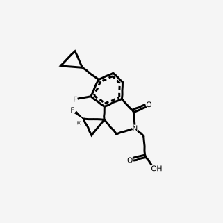 O=C(O)CN1CC2(C[C@H]2F)c2c(ccc(C3CC3)c2F)C1=O